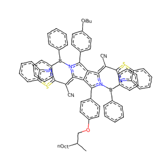 CCCCCCCCC(C)COc1ccc(-c2c3/c(=C(\C#N)c4nc5ccccc5s4)n(B(c4ccccc4)c4ccccc4)c(-c4ccc(OCC(C)C)cc4)c3/c(=C(\C#N)c3nc4ccccc4s3)n2B(c2ccccc2)c2ccccc2)cc1